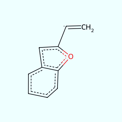 C=[C]c1cc2ccccc2o1